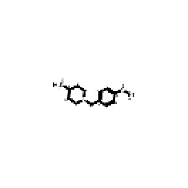 CCSc1ccc(CN2CCC(N)CC2)cc1